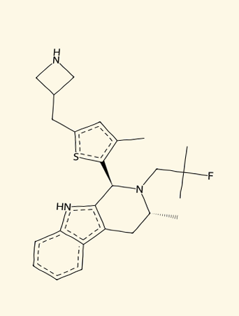 Cc1cc(CC2CNC2)sc1[C@@H]1c2[nH]c3ccccc3c2C[C@@H](C)N1CC(C)(C)F